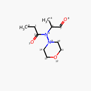 CCC(=O)N(C(C)[C]=O)N1CCOCC1